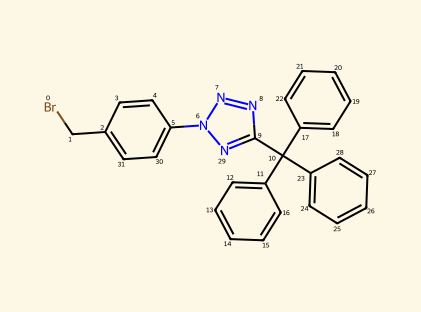 BrCc1ccc(-n2nnc(C(c3ccccc3)(c3ccccc3)c3ccccc3)n2)cc1